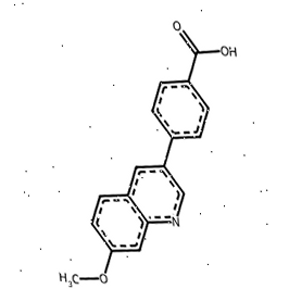 COc1ccc2cc(-c3ccc(C(=O)O)cc3)cnc2c1